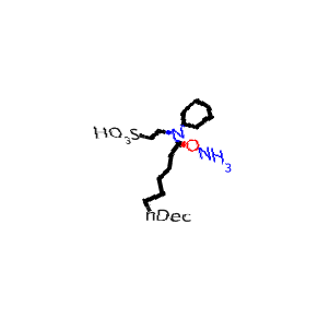 CCCCCCCCCCCCCCCC(=O)N(CCS(=O)(=O)O)C1CCCCC1.N